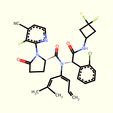 C=C/C=C(\C=C(C)C)N(C(=O)[C@@H]1CCC(=O)N1c1nccc(C#N)c1F)[C@H](C(=O)NC1CC(F)(F)C1)c1ccccc1Cl